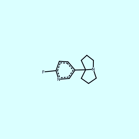 Fc1ccc(C23CCCN2CCC3)cn1